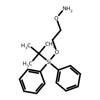 CC(C)(C)[Si](OCCON)(c1ccccc1)c1ccccc1